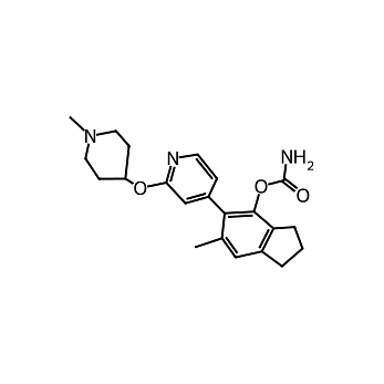 Cc1cc2c(c(OC(N)=O)c1-c1ccnc(OC3CCN(C)CC3)c1)CCC2